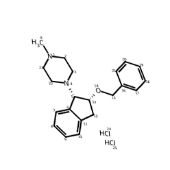 CN1CCN([C@H]2c3ccccc3C[C@H]2OCc2ccccc2)CC1.Cl.Cl